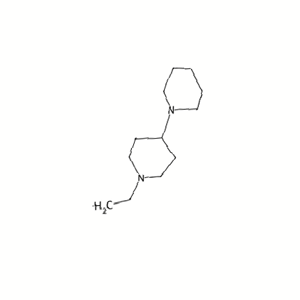 [CH2]CN1CCC(N2CCCCC2)CC1